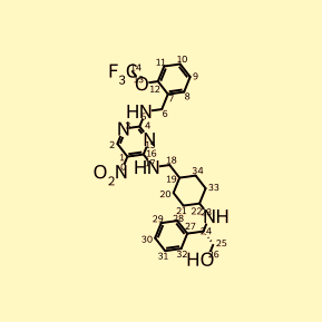 O=[N+]([O-])c1cnc(NCc2ccccc2OC(F)(F)F)nc1NCC1CCC(N[C@H](CO)c2ccccc2)CC1